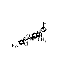 Cc1nc(N2CCNCC2)nc2ccc(NC(=O)COc3ccc(C(F)(F)F)cc3Cl)cc12